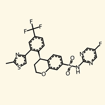 Cc1nc(-c2cc(C(F)(F)F)ccc2[C@@H]2CCOc3cc(S(=O)(=O)Nc4ncc(F)cn4)ccc32)cs1